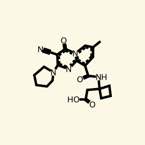 Cc1cc(C(=O)NC2(CC(=O)O)CCC2)c2nc(N3CCCCC3)c(C#N)c(=O)n2c1